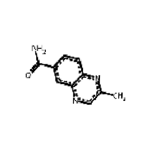 Cc1cnc2cc(C(N)=O)ccc2n1